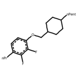 CCCCCC1CCC(COc2ccc(CCC)c(F)c2F)CC1